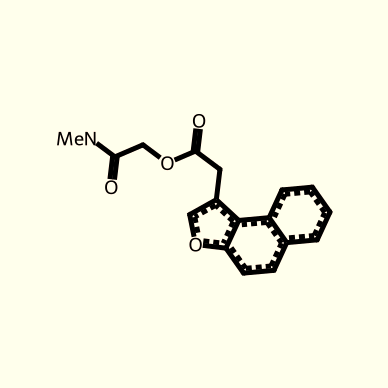 CNC(=O)COC(=O)Cc1coc2ccc3ccccc3c12